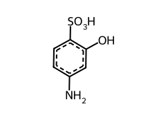 Nc1ccc(S(=O)(=O)O)c(O)c1